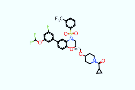 O=C(C1CC1)N1CCC(OC[C@H]2CN(S(=O)(=O)c3cccc(C(F)(F)F)c3)c3cc(-c4cc(F)cc(OC(F)F)c4)ccc3O2)CC1